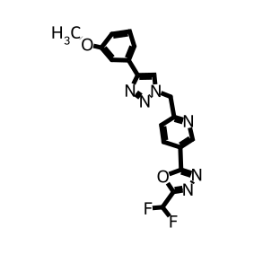 COc1cccc(-c2cn(Cc3ccc(-c4nnc(C(F)F)o4)cn3)nn2)c1